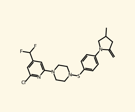 C=C1CC(C)CN1c1ccc(SN2CCN(c3cc(C(F)F)cc(Cl)n3)CC2)cc1